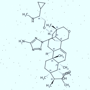 CN[C@@H](CO[C@H]1C(n2nnc(N)n2)C[C@@]23COC[C@]1(C)[C@@H]2CC[C@H]1C3=CC[C@@]2(C)[C@H](C(=O)O)[C@@](C)([C@H](C)C(C)C)CC[C@]12C)C1CC1